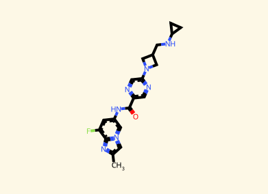 Cc1cn2cc(NC(=O)c3cnc(N4CC(CNC5CC5)C4)cn3)cc(F)c2n1